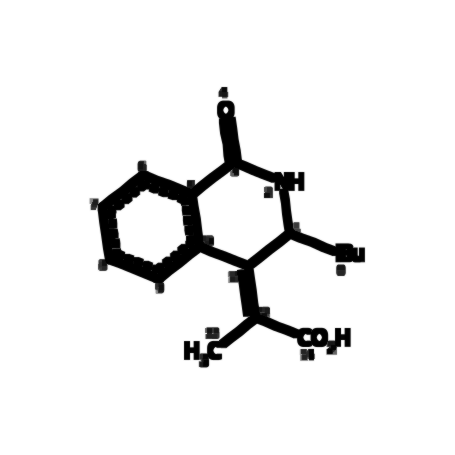 CCC(C)C1NC(=O)c2ccccc2/C1=C(\C)C(=O)O